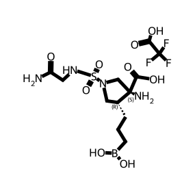 NC(=O)CNS(=O)(=O)N1C[C@@H](CCCB(O)O)[C@@](N)(C(=O)O)C1.O=C(O)C(F)(F)F